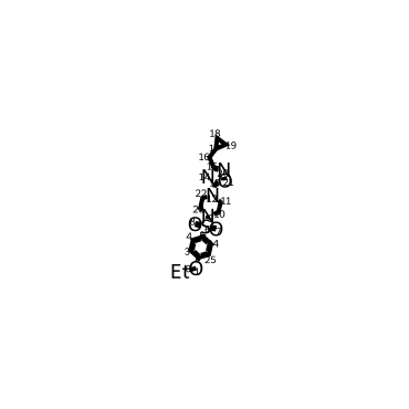 CCOc1ccc(S(=O)(=O)N2CCN(c3nc(CC4CC4)no3)CC2)cc1